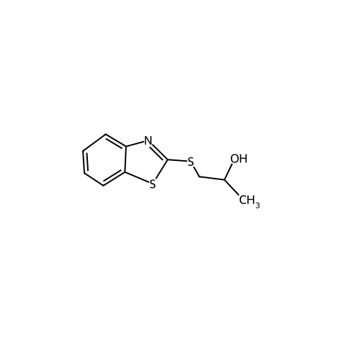 CC(O)CSc1nc2ccccc2s1